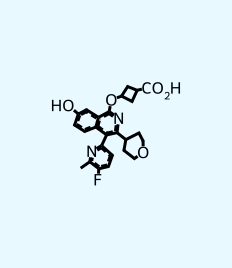 Cc1nc(-c2c(C3CCOCC3)nc(OC3CC(C(=O)O)C3)c3cc(O)ccc23)ccc1F